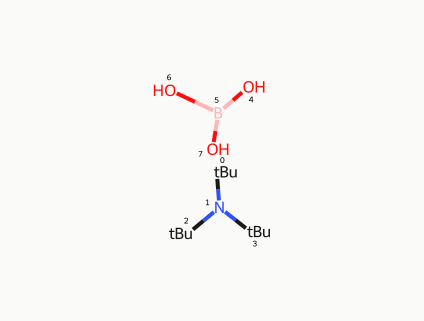 CC(C)(C)N(C(C)(C)C)C(C)(C)C.OB(O)O